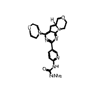 CNC(=O)Nc1ccc(-c2nc(N3CCOCC3)c3c(n2)N2CCOC[C@H]2C3)cn1